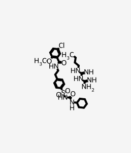 CCCCNC(=N)NC(=N)N.COc1ccc(Cl)cc1C(=O)NCCc1ccc(S(=O)(=O)NC(=O)NC2CCCCC2)cc1